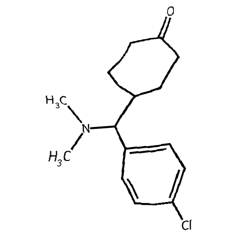 CN(C)C(c1ccc(Cl)cc1)C1CCC(=O)CC1